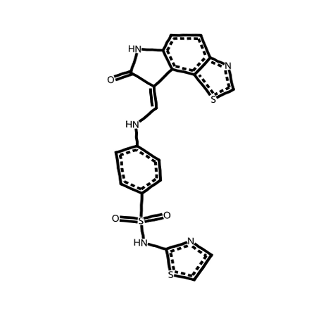 O=C1Nc2ccc3ncsc3c2/C1=C/Nc1ccc(S(=O)(=O)Nc2nccs2)cc1